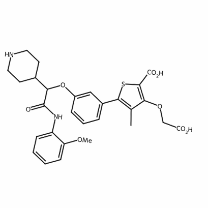 COc1ccccc1NC(=O)C(Oc1cccc(-c2sc(C(=O)O)c(OCC(=O)O)c2C)c1)C1CCNCC1